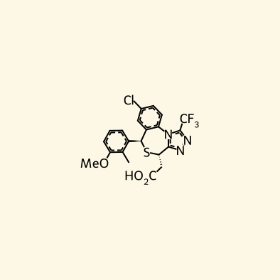 COc1cccc([C@@H]2S[C@@H](CC(=O)O)c3nnc(C(F)(F)F)n3-c3ccc(Cl)cc32)c1C